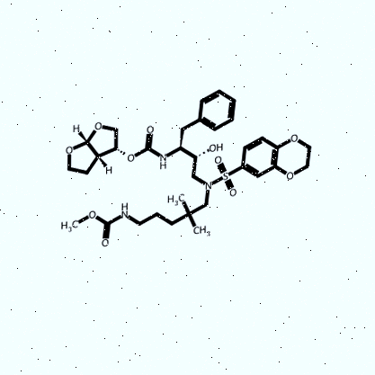 COC(=O)NCCCC(C)(C)CN(C[C@@H](O)[C@H](Cc1ccccc1)NC(=O)O[C@H]1CO[C@H]2OCC[C@H]21)S(=O)(=O)c1ccc2c(c1)OCCO2